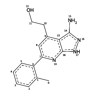 Cc1ccccc1-c1cc(CCO)c2c(N)n[nH]c2n1